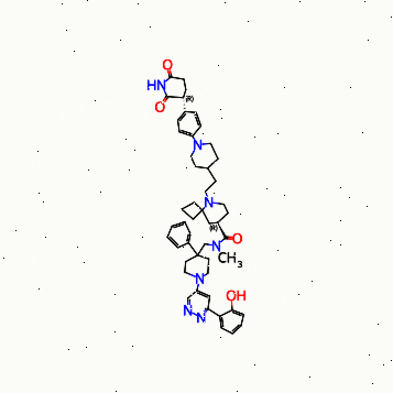 CN(CC1(c2ccccc2)CCN(c2cnnc(-c3ccccc3O)c2)CC1)C(=O)[C@@H]1CCN(CCC2CCN(c3ccc([C@H]4CCC(=O)NC4=O)cc3)CC2)C2(CCC2)C1